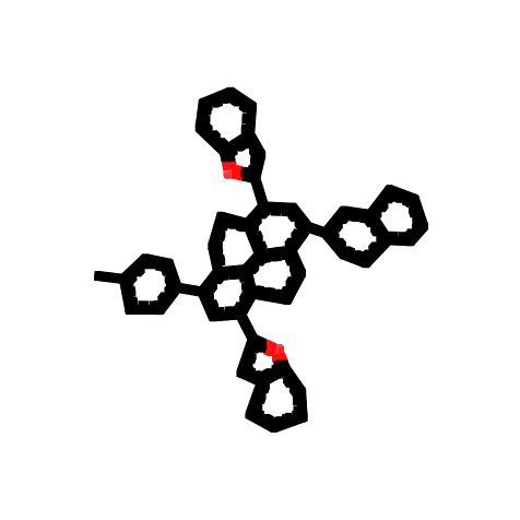 Cc1ccc(-c2cc(-c3cc4ccccc4o3)c3ccc4c(-c5ccc6ccccc6c5)cc(-c5cc6ccccc6o5)c5ccc2c3c45)cc1